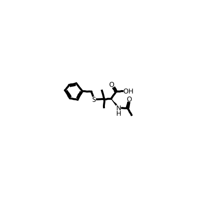 CC(=O)N[C@H](C(=O)O)C(C)(C)SCc1ccccc1